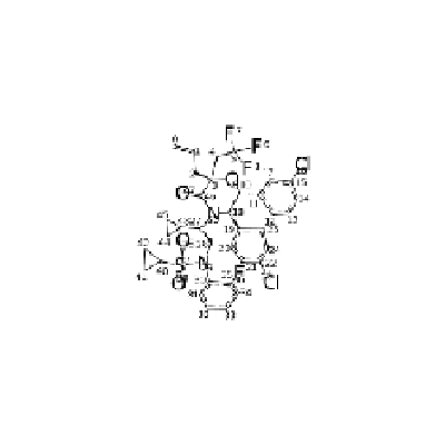 C=CC[C@@]1(CC(F)(F)F)O[C@H](c2cccc(Cl)c2)[C@@H](c2ccc(Cl)cc2)N([C@@H](CN(c2ccccc2F)S(=O)(=O)C2CC2)C2CC2)C1=O